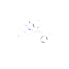 CC1(C)OCCn2c1nc(C(=O)NCc1ccccc1Br)c(O)c2=O